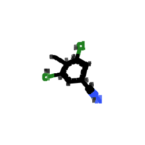 Cc1c(Cl)cc(C#N)cc1Cl